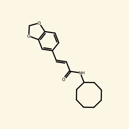 O=C(/C=C/c1ccc2c(c1)OCO2)NC1CCCCCCC1